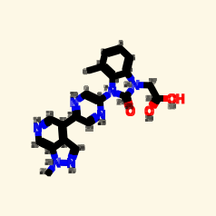 Cc1cccc2c1n(-c1cnc(-c3cncc4c3cnn4C)cn1)c(=O)n2CC(=O)O